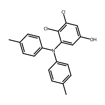 Cc1ccc(N(c2ccc(C)cc2)c2cc(O)cc(Cl)c2Cl)cc1